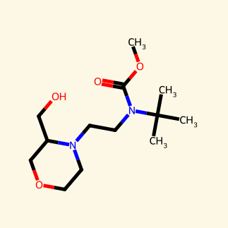 COC(=O)N(CCN1CCOCC1CO)C(C)(C)C